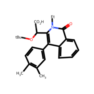 CCn1c(C(OC(C)(C)C)C(=O)O)c(-c2ccc(C)c(C)c2)c2ccccc2c1=O